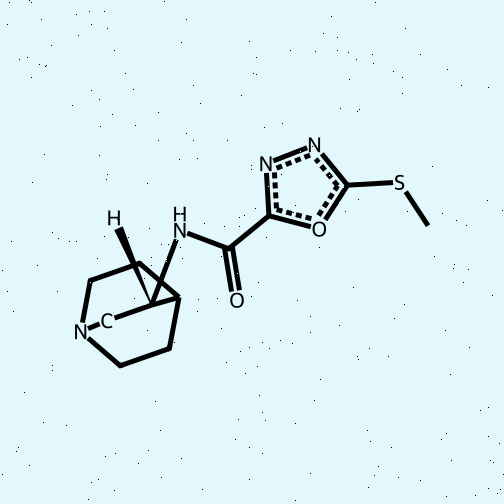 CSc1nnc(C(=O)N[C@H]2CN3CCC2CC3)o1